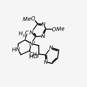 COc1nc(OC)nc([N+]2(C[C@@H](O)c3ncccn3)[C@H](C)CNC[C@@H]2C)n1